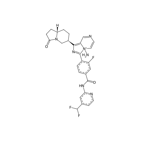 N[N+]12C=CN=CC1=C([C@@H]1CC[C@H]3CCC(=O)N3C1)N=C2c1ccc(C(=O)Nc2cc(C(F)F)ccn2)cc1F